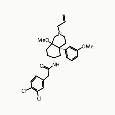 C=CCN1CC[C@@]2(c3cccc(OC)c3)C[C@H](NC(=O)Cc3ccc(Cl)c(Cl)c3)CC[C@]2(OC)C1